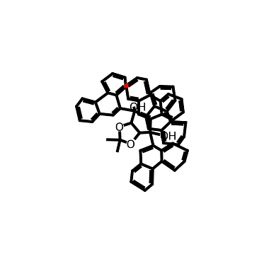 CC1(C)OC(C(O)(c2cc3ccccc3c3ccccc23)c2cc3ccccc3c3ccccc23)C(C(O)(c2cc3ccccc3c3ccccc23)c2cc3ccccc3c3ccccc23)O1